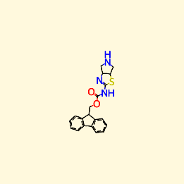 O=C(NC1=NC2CNCC2S1)OCC1c2ccccc2-c2ccccc21